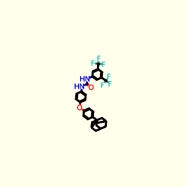 O=C(Nc1ccc(Oc2ccc(C34CC5CC(CC(C5)C3)C4)cc2)cc1)Nc1cc(C(F)(F)F)cc(C(F)(F)F)c1